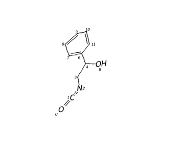 O=C=NCC(O)c1ccccc1